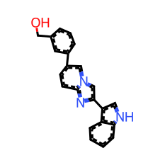 OCc1cccc(-c2ccc3nc(-c4c[nH]c5ccccc45)cn3c2)c1